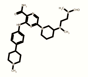 CN(C=O)CCN(C)C1CCCN(c2cnc(C(N)=O)c(Nc3ccc(C4CCN(C)CC4)cc3)n2)C1